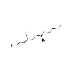 CCCCCC(Br)CCC(I)CCCI